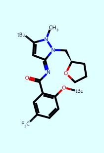 Cn1c(C(C)(C)C)cc(=NC(=O)c2cc(C(F)(F)F)ccc2OC(C)(C)C)n1C[C@H]1CCCO1